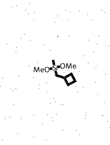 CO[Si](C)([CH]C1CCC1)OC